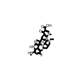 CCN1CC2CCN(c3c(-c4cnc5c(c4)c(=O)c(C(=O)O)cn5C)cnc4[nH]c5c(NC)cc(F)c(F)c5c34)[C@@H]2C1